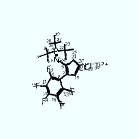 CC(C)(C)P(=NC1=C(c2c(F)c(F)c(F)c(F)c2F)C=CC1)(C(C)(C)C)C(C)(C)C.[Cl-].[Cl-].[Ti+2]